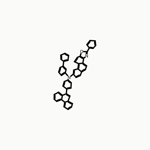 c1ccc(-c2cccc(N(c3ccc(-c4cc5ccccc5c5ccccc45)cc3)c3ccc4ccc5c(ccc6oc(-c7ccccc7)nc65)c4c3)c2)cc1